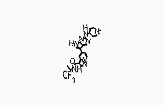 C[C@@H](NC(=O)c1cnn2ccc(-c3c[nH]c4nc(NC5CCN(C)CC5)ncc34)cc12)C(F)(F)F